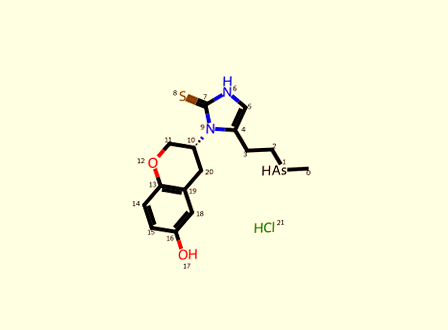 C[AsH]CCc1c[nH]c(=S)n1[C@H]1COc2ccc(O)cc2C1.Cl